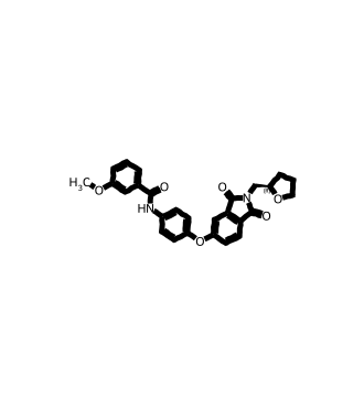 COc1cccc(C(=O)Nc2ccc(Oc3ccc4c(c3)C(=O)N(C[C@H]3CCCO3)C4=O)cc2)c1